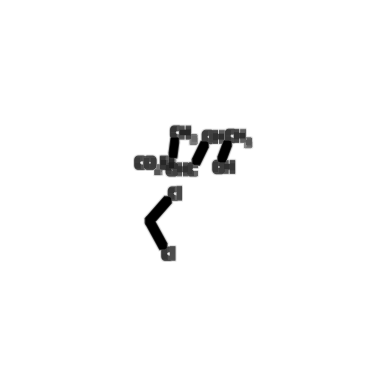 CCOC(C)=O.CO.ClCCl.O=CO